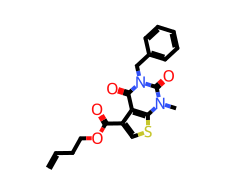 C=CCCOC(=O)c1csc2c1c(=O)n(Cc1ccccc1)c(=O)n2C